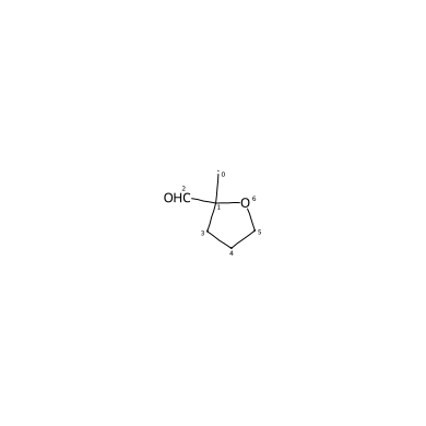 [CH2]C1(C=O)CCCO1